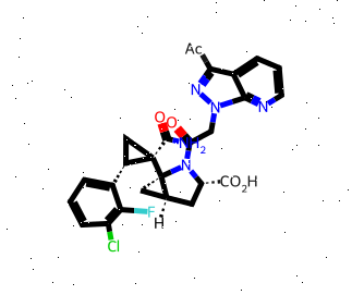 CC(=O)c1nn(CC(=O)N2[C@H](C(=O)O)C[C@H]3C[C@@]32[C@]2(C(N)=O)C[C@H]2c2cccc(Cl)c2F)c2ncccc12